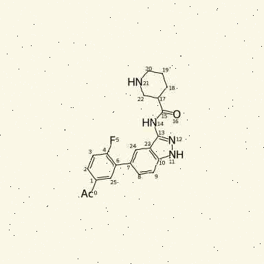 CC(=O)c1ccc(F)c(-c2ccc3[nH]nc(NC(=O)C4CCCNC4)c3c2)c1